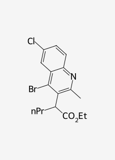 CCCC(C(=O)OCC)c1c(C)nc2ccc(Cl)cc2c1Br